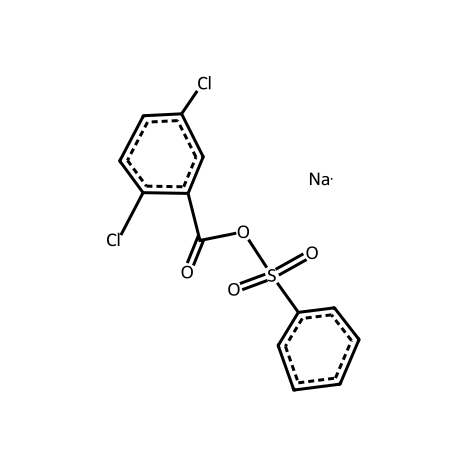 O=C(OS(=O)(=O)c1ccccc1)c1cc(Cl)ccc1Cl.[Na]